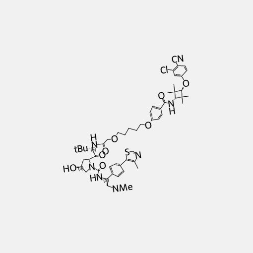 CNC[C@@H](NC(=O)N1C[C@@H](O)CC1C(=O)[C@@H](NC(=O)COCCCCCOc1ccc(C(=O)N[C@H]2C(C)(C)[C@H](Oc3ccc(C#N)c(Cl)c3)C2(C)C)cc1)C(C)(C)C)c1ccc(-c2scnc2C)cc1